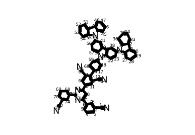 N#Cc1cccc(-c2cc(-c3cc(C#N)c(-c4ccc(-n5c6ccc(-n7c8ccccc8c8ccccc87)cc6c6cc(-n7c8ccccc8c8ccccc87)ccc65)cc4)c(C#N)c3)nc(-c3cccc(C#N)c3)n2)c1